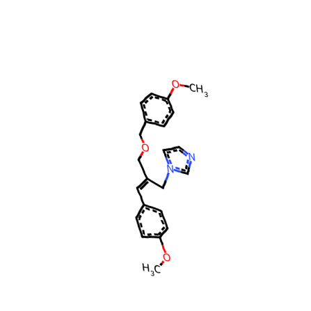 COc1ccc(/C=C(/COCc2ccc(OC)cc2)Cn2ccnc2)cc1